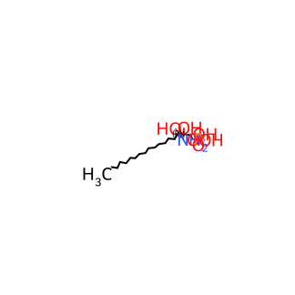 CCCCCCCCCCCCCCC[C@@H](O)C(N)(O)COP(=O)(O)O